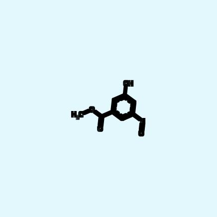 COC(=O)c1cc(O)cc(N=O)c1